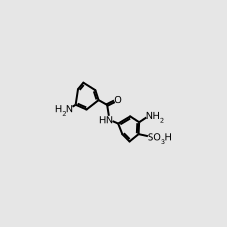 Nc1cccc(C(=O)Nc2ccc(S(=O)(=O)O)c(N)c2)c1